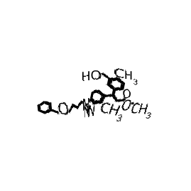 CCOC(=O)CC(c1ccc(C)c(CO)c1)c1ccc2c(nnn2CCCCOCc2ccccc2)c1C